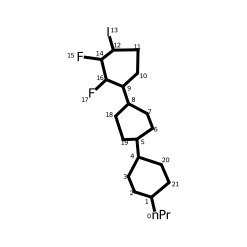 CCCC1CCC(C2CCC(C3CCC(I)C(F)C3F)CC2)CC1